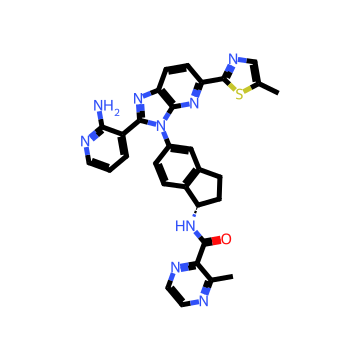 Cc1cnc(-c2ccc3nc(-c4cccnc4N)n(-c4ccc5c(c4)CC[C@@H]5NC(=O)c4nccnc4C)c3n2)s1